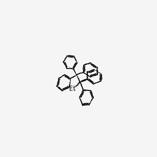 CCC(c1ccccc1)(c1ccccc1)C(c1ccccc1)(c1ccccc1)c1ccccc1